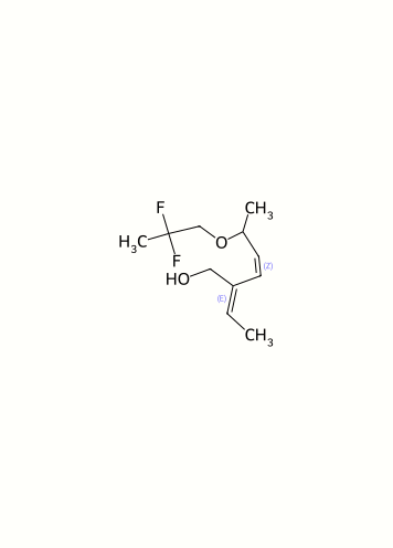 C/C=C(\C=C/C(C)OCC(C)(F)F)CO